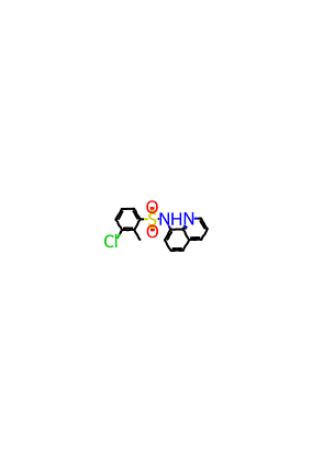 Cc1c(Cl)cccc1S(=O)(=O)Nc1cccc2cccnc12